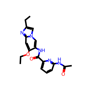 CCOc1cc2nc(CC)cn2cc1NC(=O)c1cccc(NC(C)=O)n1